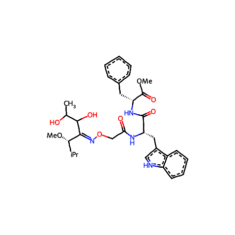 COC(=O)[C@@H](Cc1ccccc1)NC(=O)[C@H](Cc1c[nH]c2ccccc12)NC(=O)CO/N=C(\C(O)C(C)O)[C@@H](OC)C(C)C